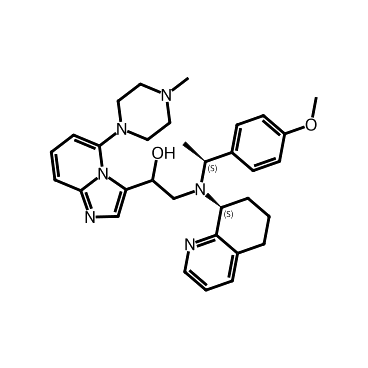 COc1ccc([C@H](C)N(CC(O)c2cnc3cccc(N4CCN(C)CC4)n23)[C@H]2CCCc3cccnc32)cc1